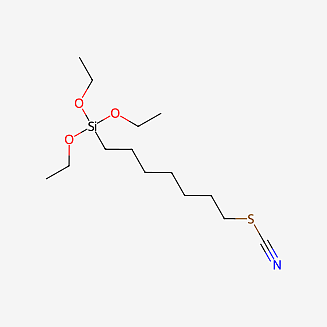 CCO[Si](CCCCCCCSC#N)(OCC)OCC